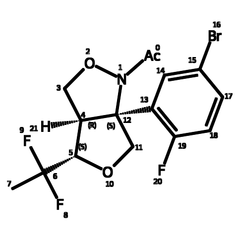 CC(=O)N1OC[C@@H]2[C@@H](C(C)(F)F)OC[C@@]21c1cc(Br)ccc1F